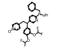 CCCN(Cc1ccccc1)c1ccc(C(Cc2cc[n+]([O-])cc2)c2ccc(OC(F)F)c(OC(F)F)c2)cn1